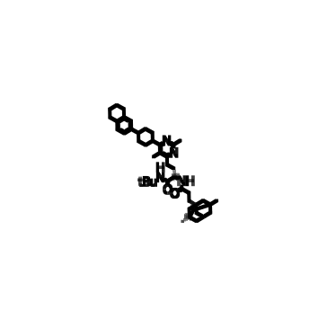 Cc1nc(CC[C@H](NC(=O)CC[C@@]23CC4CC(C)(C[C@@](C)(C4)C2)C3)C(=O)NC(C)(C)C)c(C)c(C2CCC(c3ccc4c(c3)CCCC4)CC2)n1